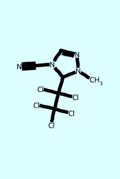 CN1N=CN(C#N)C1C(Cl)(Cl)C(Cl)(Cl)Cl